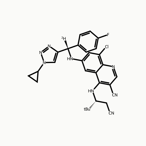 [2H][C@](Nc1cc(Cl)c2ncc(C#N)c(N[C@H](CC#N)C(C)(C)C)c2c1)(c1ccc(F)cc1)c1cn(C2CC2)nn1